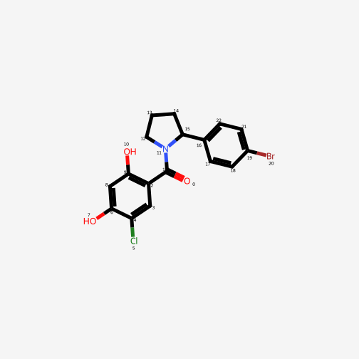 O=C(c1cc(Cl)c(O)cc1O)N1CCCC1c1ccc(Br)cc1